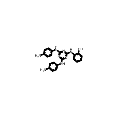 Nc1ccc(Nc2nc(Nc3ccc(N)cc3)nc(Nc3ccccc3O)n2)cc1